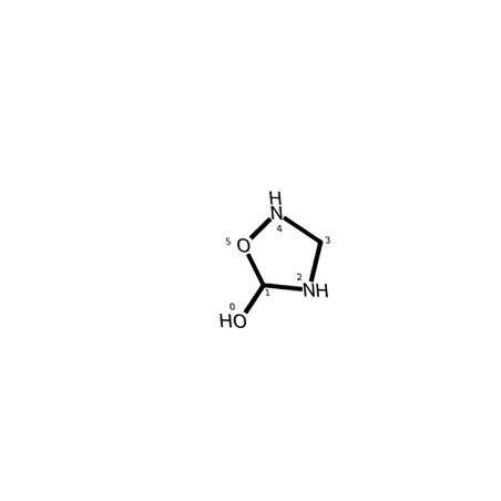 OC1NCNO1